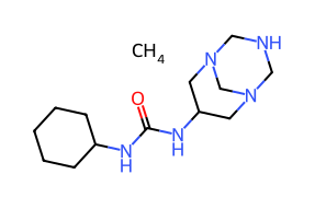 C.O=C(NC1CCCCC1)NC1CN2CNCN(C1)C2